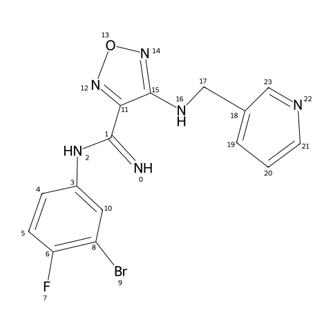 N=C(Nc1ccc(F)c(Br)c1)c1nonc1NCc1cccnc1